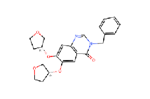 O=c1c2cc(O[C@@H]3CCOC3)c(O[C@@H]3CCOC3)cc2ncn1Cc1ccccc1